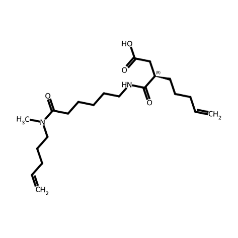 C=CCCC[C@H](CC(=O)O)C(=O)NCCCCCC(=O)N(C)CCCC=C